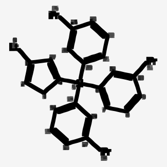 CCC1=CCC([Si](c2cccc(C(C)C)c2)(c2cccc(C(C)C)c2)c2cccc(C(C)C)c2)=C1